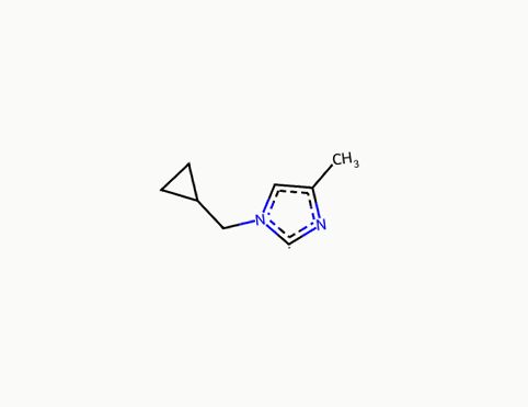 Cc1cn(CC2CC2)[c]n1